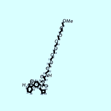 COCCOCCOCCOCCOCCOCCOCCOCCNC(=O)CN1C[C@]2(CC[C@@](c3ccccc3)(N(C)C)CC2)N(CC2CCC2)C1=O